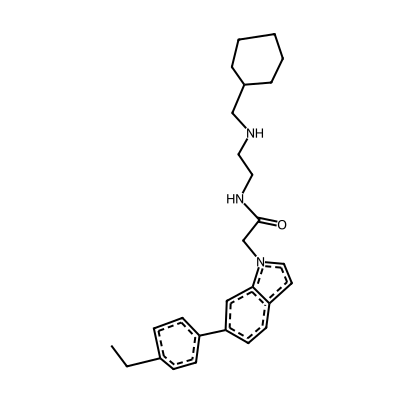 CCc1ccc(-c2ccc3ccn(CC(=O)NCCNCC4CCCCC4)c3c2)cc1